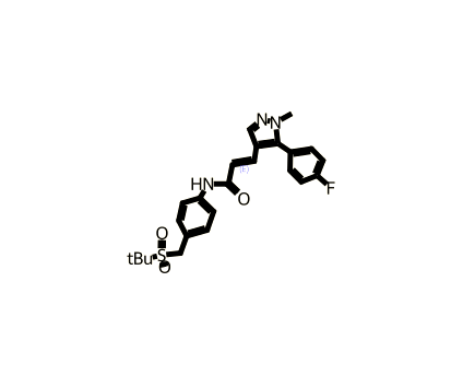 Cn1ncc(/C=C/C(=O)Nc2ccc(CS(=O)(=O)C(C)(C)C)cc2)c1-c1ccc(F)cc1